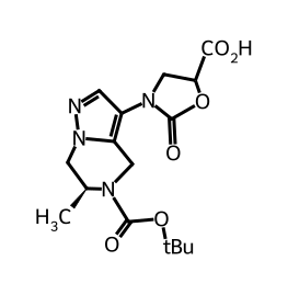 C[C@H]1Cn2ncc(N3CC(C(=O)O)OC3=O)c2CN1C(=O)OC(C)(C)C